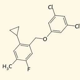 Cc1cc(C2CC2)c(COc2cc(Cl)cc(Cl)c2)cc1F